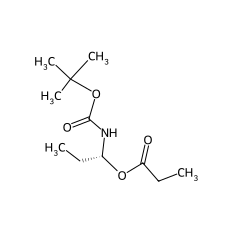 CCC(=O)O[C@H](CC)NC(=O)OC(C)(C)C